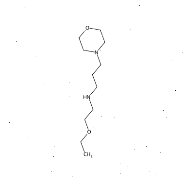 CCOCCNCCCN1CCOCC1